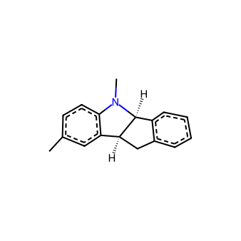 Cc1ccc2c(c1)[C@@H]1Cc3ccccc3[C@@H]1N2C